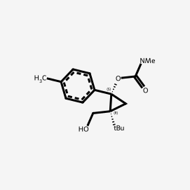 CNC(=O)O[C@]1(c2ccc(C)cc2)C[C@]1(CO)C(C)(C)C